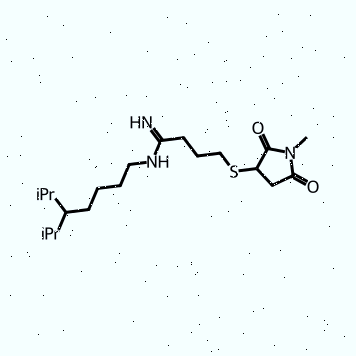 CC(C)C(CCCCNC(=N)CCCSC1CC(=O)N(C)C1=O)C(C)C